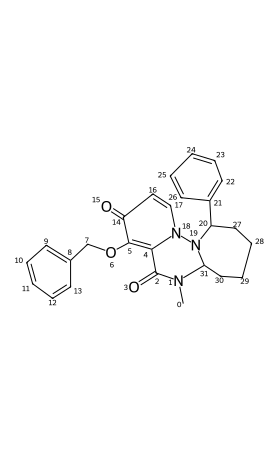 CN1C(=O)c2c(OCc3ccccc3)c(=O)ccn2N2C(c3ccccc3)CCCCC12